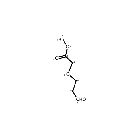 CC(C)(C)OC(=O)COCCC=O